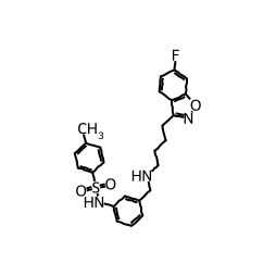 Cc1ccc(S(=O)(=O)Nc2cccc(CNCCCCc3noc4cc(F)ccc34)c2)cc1